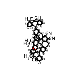 CC1(C)c2ccccc2C(C2c3cc(N4c5ccccc5C(C)(C)c5ccccc54)ccc3CCc3c(C#N)c(C#N)c4c(c32)CCc2ccc(N3c5ccccc5C(C)(C)c5ccccc53)cc2C4)c2ccccc21